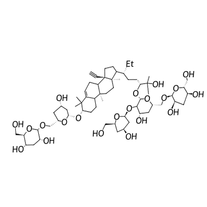 C#C[C@@]12CCC([C@H](CC)CC[C@@H](O[C@@H]3O[C@H](CO[C@H]4O[C@H](CO)[C@@H](O)C[C@H]4O)C[C@H](O)C3O[C@H]3C[C@@H](O)C[C@@H](CO)O3)C(C)(C)O)[C@@]1(C)CC[C@@]1(C)C3CC[C@H](O[C@H]4C[C@@H](O)C[C@@H](CO[C@H]5O[C@H](CO)[C@@H](O)C[C@H]5O)O4)C(C)(C)C3=CCC12